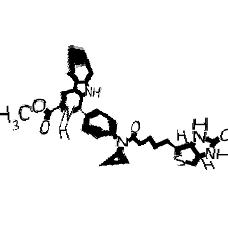 COC(=O)[C@H]1Cc2c([nH]c3ccccc23)[C@H](c2ccc(N(C(=O)CCCC[C@@H]3SC[C@@H]4NC(=O)N[C@@H]43)C3CC3)cc2)N1